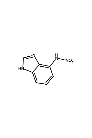 O=[N+]([O-])Nc1cccc2[nH]cnc12